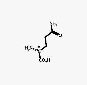 NC(=O)CC[13C@H](N)[13C](=O)O